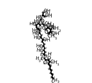 C/C=C/C=C/C=C/C=C/[C@H](C)[C@@H](O)[C@@H](C)[C@H](C)OC(=O)C[C@H](O)C[C@H](O)CC[C@@H](O)[C@H](O)C[C@H](O)C[C@]1(O)C[C@H](O)[C@@H](NC(=O)NC(CO)CO)[C@H](C[C@H](C)O[C@@H]2O[C@H](C)[C@@H](O)[C@H](N)[C@@H]2O)O1